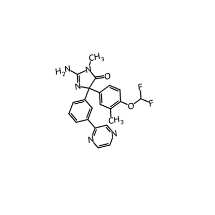 Cc1cc(C2(c3cccc(-c4cnccn4)c3)N=C(N)N(C)C2=O)ccc1OC(F)F